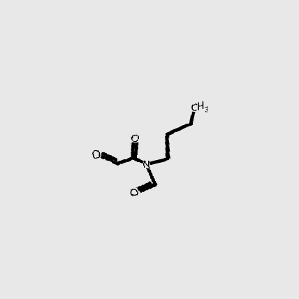 CCCCN(C=O)C(=O)C=O